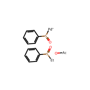 CC(=O)[O-].CCS(=O)c1ccccc1.O=[S]([Pd+])c1ccccc1